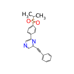 CC(C)S(=O)(=O)c1ccc(-c2cncc(C#Cc3ccccc3)n2)cc1